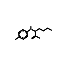 C=C(C)C(CCCC)Nc1ccc(C)cc1